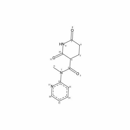 CN(C(=O)C1CCC(=O)NC1=O)c1ccccn1